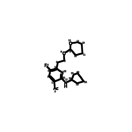 CC(=O)c1cc(F)c(CCOC2CCCCO2)nc1NC1CCCC1